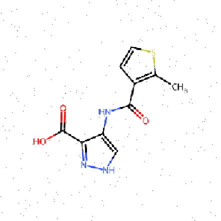 Cc1sccc1C(=O)Nc1c[nH]nc1C(=O)O